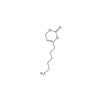 CCCCCCC1=CCOC(=O)O1